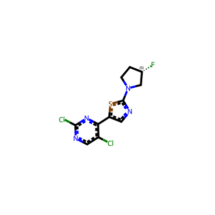 F[C@H]1CCN(c2ncc(-c3nc(Cl)ncc3Cl)s2)C1